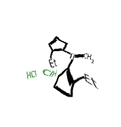 Cl.Cl.[CH2]=[Ti]([C]1=C(CC)C=CC1)[C]1=C(CC)C=CC1